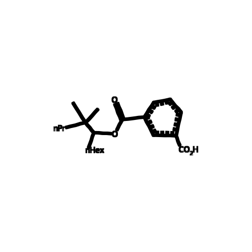 CCCCCCC(OC(=O)c1cccc(C(=O)O)c1)C(C)(C)CCC